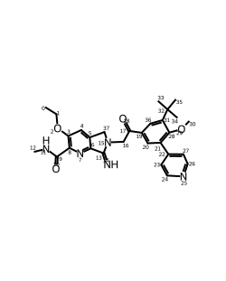 CCOc1cc2c(nc1C(=O)NC)C(=N)N(CC(=O)c1cc(-c3ccncc3)c(OC)c(C(C)(C)C)c1)C2